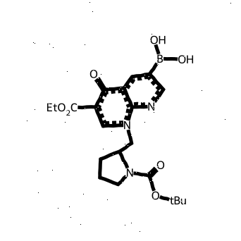 CCOC(=O)c1cn(CC2CCCN2C(=O)OC(C)(C)C)c2ncc(B(O)O)cc2c1=O